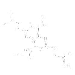 C=C(C)CNc1nc(NCC)c2nc(NCC(C)O)nc(NCC)c2n1.Cl